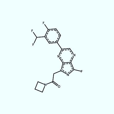 O=C(Cn1nc(F)c2ncc(-c3ccc(F)c(C(F)F)c3)nc21)N1CCC1